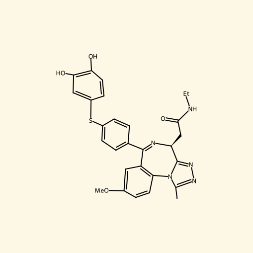 CCNC(=O)C[C@@H]1N=C(c2ccc(Sc3ccc(O)c(O)c3)cc2)c2cc(OC)ccc2-n2c(C)nnc21